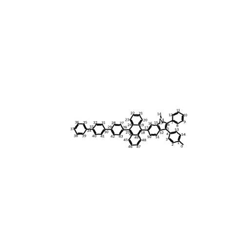 Cc1ccc(-c2c(-c3ccccc3)n(C)c3cc(-c4c5ccccc5c(-c5ccc(-c6ccc(-c7ccccc7)cc6)cc5)c5ccccc45)ccc23)cc1